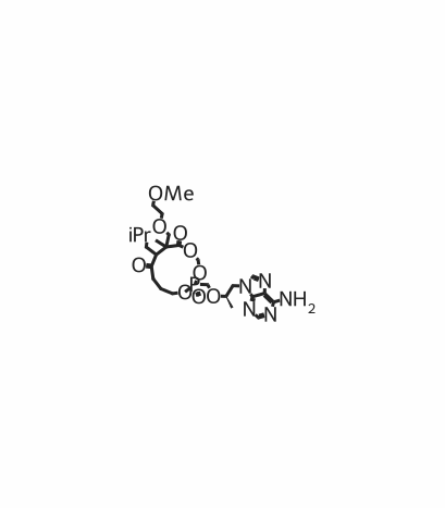 COCCOCC1(C)C(=O)OCOP(=O)(CO[C@H](C)Cn2cnc3c(N)ncnc32)OCCCC(=O)C1CC(C)C